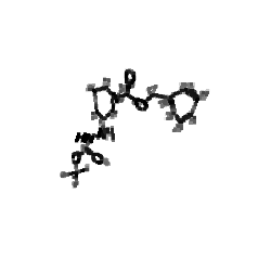 CC(C)(C)OC(=O)NNC1CCCN(C(=O)OCc2ccccc2)C1